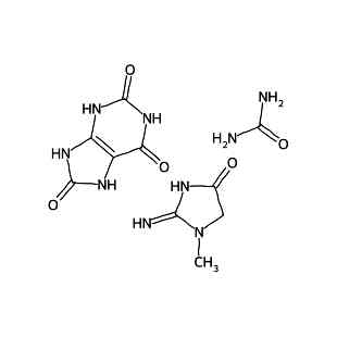 CN1CC(=O)NC1=N.NC(N)=O.O=c1[nH]c(=O)c2[nH]c(=O)[nH]c2[nH]1